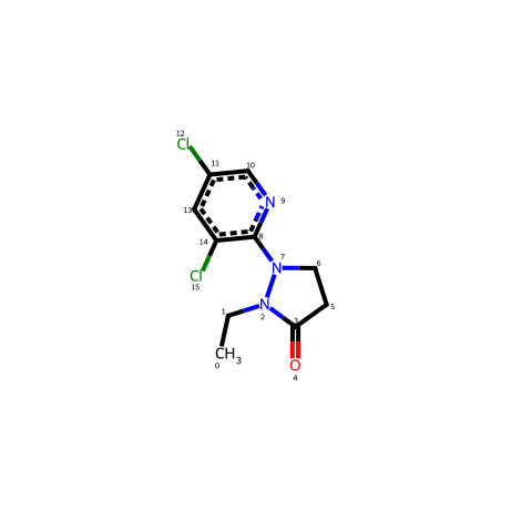 CCN1C(=O)CCN1c1ncc(Cl)cc1Cl